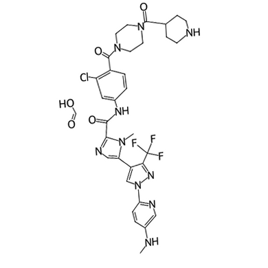 CNc1ccc(-n2cc(-c3cnc(C(=O)Nc4ccc(C(=O)N5CCN(C(=O)C6CCNCC6)CC5)c(Cl)c4)n3C)c(C(F)(F)F)n2)nc1.O=CO